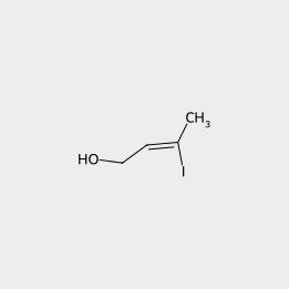 CC(I)=CCO